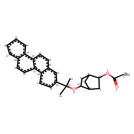 CCC(C)C(=O)OC1CC2CC1CC2OC(C)(C)c1ccc2c(ccc3c4ccccc4ccc23)c1